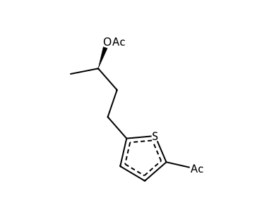 CC(=O)O[C@H](C)CCc1ccc(C(C)=O)s1